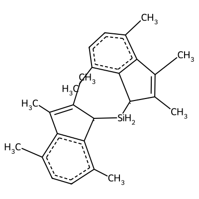 CC1=C(C)c2c(C)ccc(C)c2[C]1[SiH2][C]1C(C)=C(C)c2c(C)ccc(C)c21